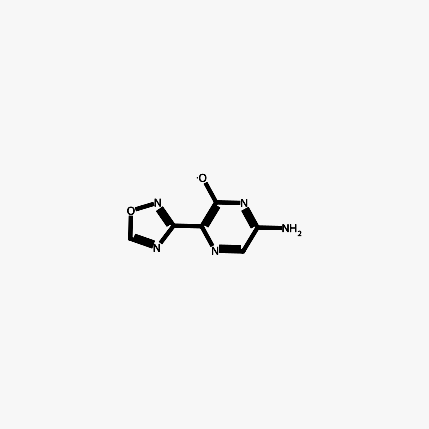 Nc1cnc(-c2ncon2)c([O])n1